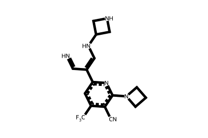 N#Cc1c(C(F)(F)F)cc(/C(C=N)=C/NC2CNC2)nc1N1CCC1